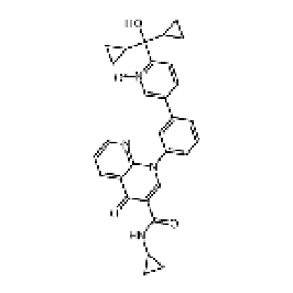 O=C(NC1CC1)c1cn(-c2cccc(-c3ccc(C(O)(C4CC4)C4CC4)[n+]([O-])c3)c2)c2ncccc2c1=O